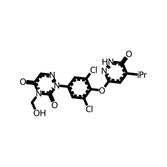 CC(C)c1cc(Oc2c(Cl)cc(-n3ncc(=O)n(CO)c3=O)cc2Cl)n[nH]c1=O